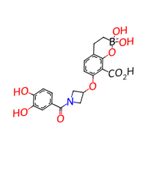 O=C(O)c1c(OC2CN(C(=O)c3ccc(O)c(O)c3)C2)ccc2c1O[B-](O)(O)CC2